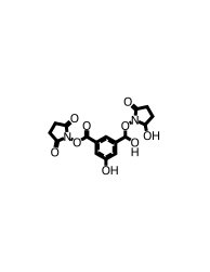 O=C(ON1C(=O)CCC1=O)c1cc(O)cc(C(O)ON2C(=O)CCC2O)c1